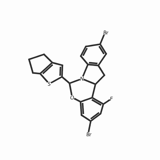 Fc1cc(Br)cc2c1C1Cc3cc(Br)ccc3N1C(c1cc3c(s1)CCC3)O2